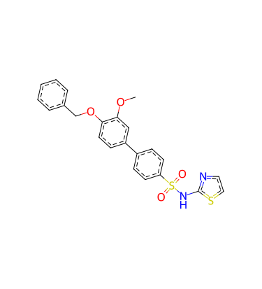 COc1cc(-c2ccc(S(=O)(=O)Nc3nccs3)cc2)ccc1OCc1ccccc1